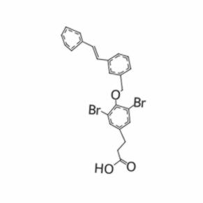 O=C(O)CCc1cc(Br)c(OCc2cccc(C=Cc3ccccc3)c2)c(Br)c1